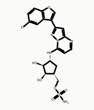 NS(=O)(=O)OC[C@H]1C[C@@H](Nc2ccnc3cc(-c4coc5ccc(Cl)cc45)nn23)[C@H](O)[C@@H]1O